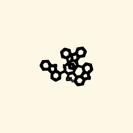 CC1=C(c2cccc3oc4cccc(-c5cccc6oc7ccccc7c56)c4c23)C=C=C(c2ccccc2)N=C1c1cccc2c1oc1ccccc12